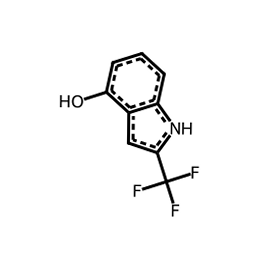 Oc1cccc2[nH]c(C(F)(F)F)cc12